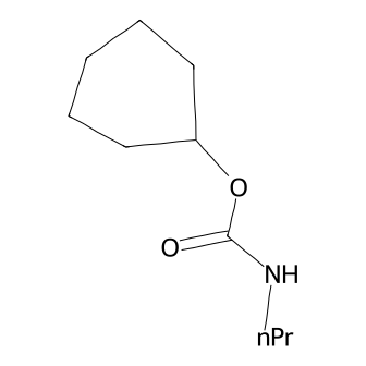 CCCNC(=O)OC1CCCCC1